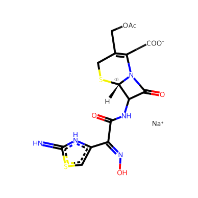 CC(=O)OCC1=C(C(=O)[O-])N2C(=O)C(NC(=O)C(=NO)c3csc(=N)[nH]3)[C@@H]2SC1.[Na+]